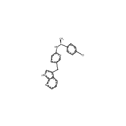 C[C@H](Nc1ccc(Cc2c[nH]c3ncccc23)cn1)c1ccc(Cl)cc1